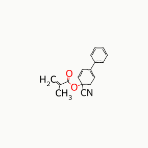 C=C(C)C(=O)OC1(C#N)C=CC(c2ccccc2)=CC1